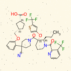 CCC[C@H]1N(C(=O)c2ncccc2C(F)(F)F)CCC[C@@]1(Oc1csc(C(F)(F)F)c1)C(=O)N1CCC(C#N)(c2ccccc2OC[C@H]2CC[C@@H](C(=O)O)C2)CC1